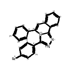 Brc1ccc(-c2nnc3c4ccccc4cc(-c4ccccc4)n23)cc1